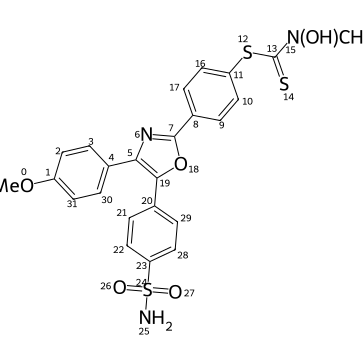 COc1ccc(-c2nc(-c3ccc(SC(=S)N(C)O)cc3)oc2-c2ccc(S(N)(=O)=O)cc2)cc1